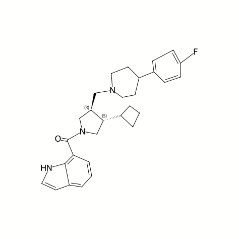 O=C(c1cccc2cc[nH]c12)N1C[C@@H](CN2CCC(c3ccc(F)cc3)CC2)[C@H](C2CCC2)C1